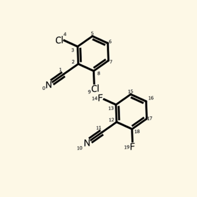 N#Cc1c(Cl)cccc1Cl.N#Cc1c(F)cccc1F